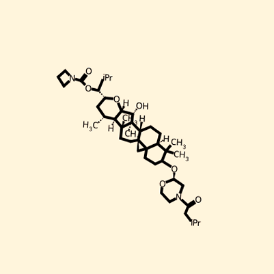 CC(C)CC(=O)N1CCO[C@@H](OC2CCC34C[C@]35CC[C@]3(C)[C@@H]6[C@H](O[C@@H](C(OC(=O)N7CCC7)C(C)C)C[C@H]6C)[C@H](O)[C@@]3(C)[C@@H]5CC[C@H]4C2(C)C)C1